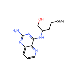 CSCCC(CO)Nc1nc(N)nc2cccnc12